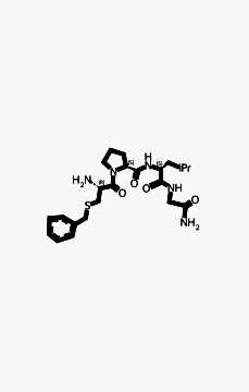 CC(C)C[C@H](NC(=O)[C@@H]1CCCN1C(=O)[C@@H](N)CSCc1ccccc1)C(=O)NCC(N)=O